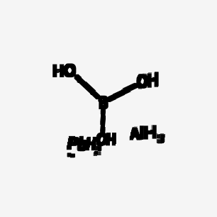 OB(O)O.[AlH3].[PbH2]